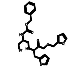 CC(C)CC(CNC(Cc1cccs1)C(=O)CSCc1ccco1)NC(=O)OCc1ccccc1